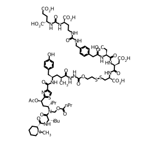 CCCC(=O)OCN(C(=O)[C@@H](NC(=O)[C@H]1CCCCN1C)C(C)CC)[C@H](C[C@@H](OC(C)=O)c1nc(C(=O)N[C@@H](Cc2ccc(O)cc2)C[C@H](C)C(=O)NNC(=O)OCCSSC[C@@H](NC(=O)[C@H](CC(=O)O)NC(=O)[C@H](CC(=O)O)NC(=O)Cc2ccc(CNC(=O)NCC[C@@H](NC(=O)N[C@@H](CCC(=O)O)C(=O)O)C(=O)O)cc2)C(=O)O)cs1)C(C)C